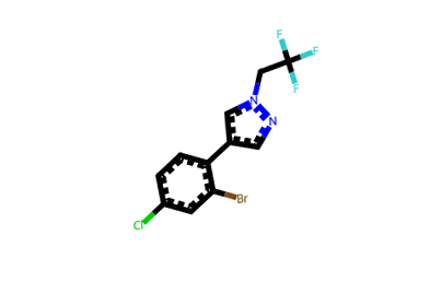 FC(F)(F)Cn1cc(-c2ccc(Cl)cc2Br)cn1